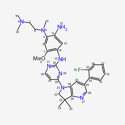 COc1cc(N(C)CCN(C)C)c(N)cc1Nc1nccc(N2CC(C)(C)c3ncc(-c4ccccc4F)cc32)n1